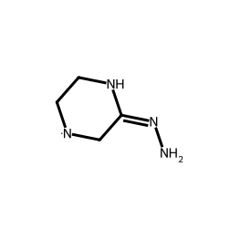 NN=C1C[N]CCN1